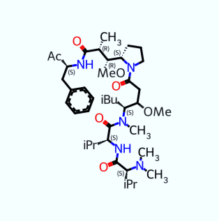 CCC(C)[C@@H](C(CC(=O)N1CCC[C@H]1[C@H](OC)[C@@H](C)C(=O)N[C@@H](Cc1ccccc1)C(C)=O)OC)N(C)C(=O)[C@@H](NC(=O)[C@H](C(C)C)N(C)C)C(C)C